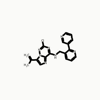 C=C(C)c1cnc2c(NCc3cccnc3-c3cccnc3)nc(Cl)nn12